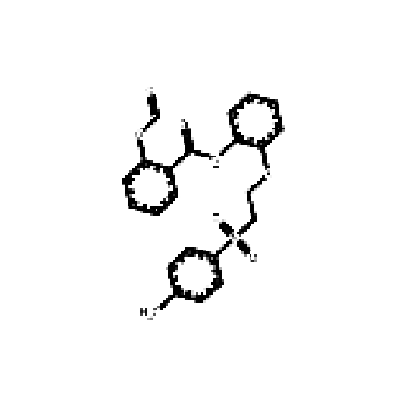 Cc1ccc(S(=O)(=O)CCSc2ccccc2NC(=O)c2ccccc2OC=O)cc1